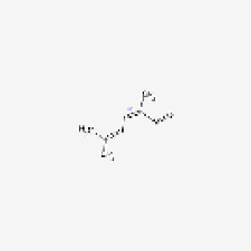 CC(C)=C/C=C(/C)N=O